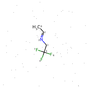 CC=NCC(F)(F)F